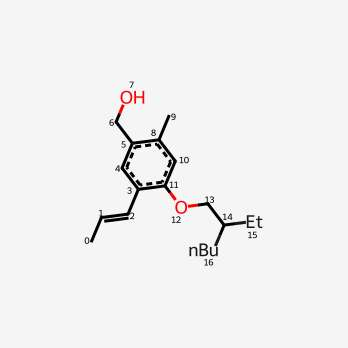 C/C=C/c1cc(CO)c(C)cc1OCC(CC)CCCC